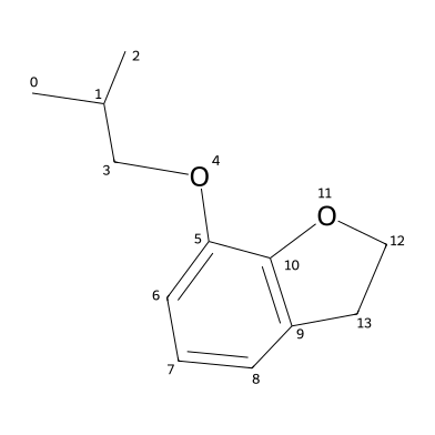 CC(C)COc1cccc2c1OCC2